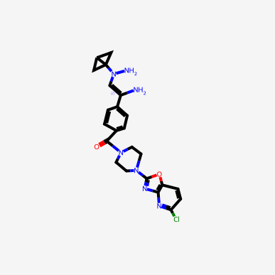 N/C(=C\N(N)C12CC1C2)c1ccc(C(=O)N2CCN(c3nc4nc(Cl)ccc4o3)CC2)cc1